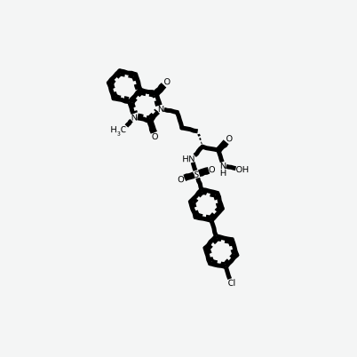 Cn1c(=O)n(CCC[C@@H](NS(=O)(=O)c2ccc(-c3ccc(Cl)cc3)cc2)C(=O)NO)c(=O)c2ccccc21